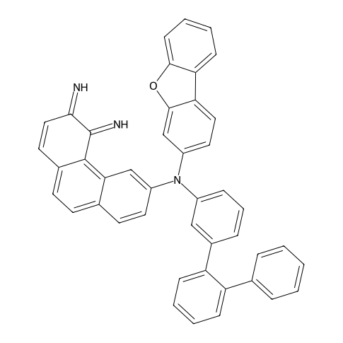 N=C1C=Cc2ccc3ccc(N(c4cccc(-c5ccccc5-c5ccccc5)c4)c4ccc5c(c4)oc4ccccc45)cc3c2C1=N